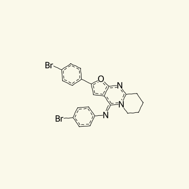 Brc1ccc(/N=c2\c3cc(-c4ccc(Br)cc4)oc3nc3n2CCCC3)cc1